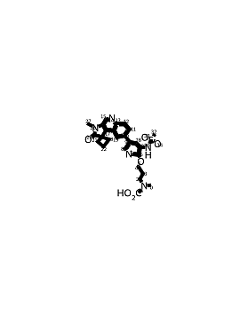 CN(CCCOc1ncc(-c2ccc3ncc4c(c3c2)C2(CCC2)C(=O)N4C)cc1NS(C)(=O)=O)C(=O)O